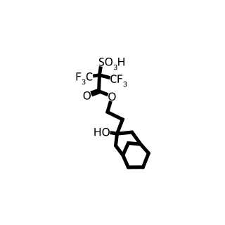 O=C(OCCC1(O)CC2CCCC(C2)C1)C(C(F)(F)F)(C(F)(F)F)S(=O)(=O)O